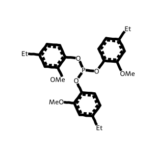 CCc1ccc(OP(Oc2ccc(CC)cc2OC)Oc2ccc(CC)cc2OC)c(OC)c1